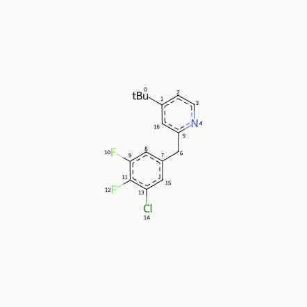 CC(C)(C)c1ccnc(Cc2cc(F)c(F)c(Cl)c2)c1